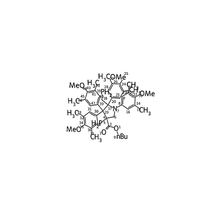 CCCCOC(=O)C1(P)CN(c2cc(C)c(OC)c(C)c2)C(CP)(c2cc(C)c(OC)c(C)c2)C1(c1cc(C)c(OC)c(C)c1)c1cc(C)c(OC)c(C)c1